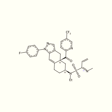 C=C/C(=N\C)S(=O)(=O)N(CC)[C@H]1CCC2=Cc3c(cnn3-c3ccc(F)cc3)C[C@]2(C(=O)c2ccc(C(F)(F)F)cn2)C1